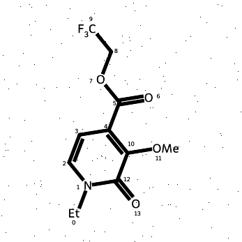 CCn1ccc(C(=O)OCC(F)(F)F)c(OC)c1=O